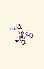 CN(C(=O)[C@@H]1[C@@H](Cc2ccnc(N)c2)C(=O)N1C(=O)N[C@@H](c1cccnc1)C1CC1)c1ncccn1